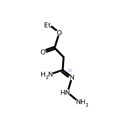 CCOC(=O)C/C(N)=N/NN